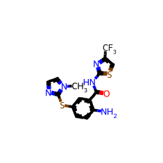 Cn1ccnc1Sc1ccc(N)c(C(=O)Nc2nc(C(F)(F)F)cs2)c1